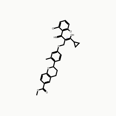 COC(=O)c1ccc2c(c1)CCC(c1ccc(OC/C(C(=N)c3c(Cl)cccc3Cl)=C(/O)C3CC3)cc1C)O2